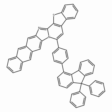 c1ccc(C2(c3ccccc3)c3ccccc3-c3c(-c4ccc(-c5cc6c7ccccc7sc6c6nc7cc8cc9ccccc9cc8cc7n56)cc4)cccc32)cc1